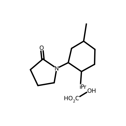 CC1CCC(C(C)C)C(N2CCCC2=O)C1.O=C(O)O